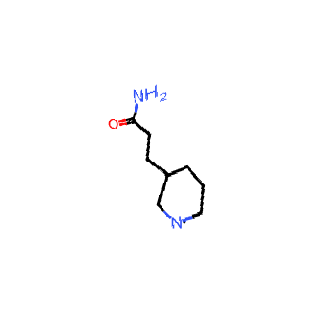 NC(=O)CCC1CCC[N]C1